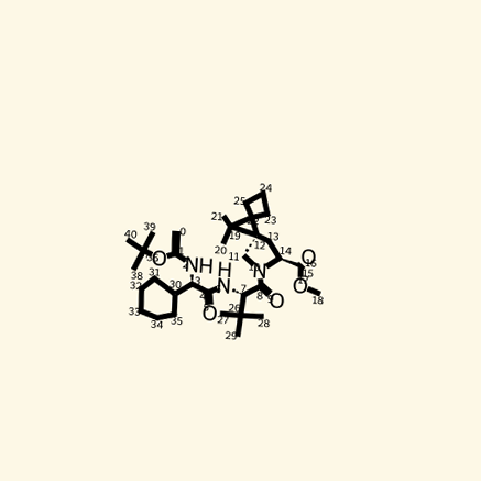 C=C(N[C@H](C(=O)N[C@H](C(=O)N1C[C@]2(C[C@H]1C(=O)OC)C(C)(C)C21CCC1)C(C)(C)C)C1CCCCC1)OC(C)(C)C